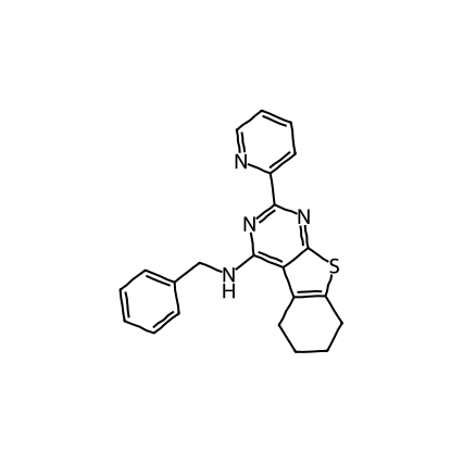 c1ccc(CNc2nc(-c3ccccn3)nc3sc4c(c23)CCCC4)cc1